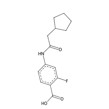 O=C(CC1CCCC1)Nc1ccc(C(=O)O)c(F)c1